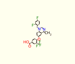 C=C1N=CN(Cc2ccc(F)cc2F)c2ccc(Oc3ccc(C(=O)O)cc3C(F)(F)F)cc21